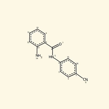 N#Cc1ccc(NC(=O)c2ccccc2N)cc1